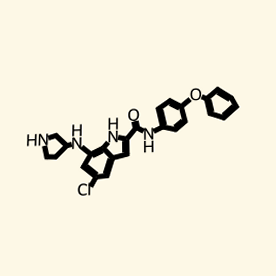 O=C(Nc1ccc(Oc2ccccc2)cc1)c1cc2cc(Cl)cc(NC3CCNC3)c2[nH]1